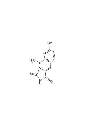 COc1cc(O)ccc1/C=C1\SC(=S)NC1=O